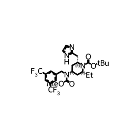 CC[C@@H]1C[C@H](N(Cc2cc(C(F)(F)F)cc(C(F)(F)F)c2)C(=O)OC)C[C@H](Cc2ncc[nH]2)N1C(=O)OC(C)(C)C